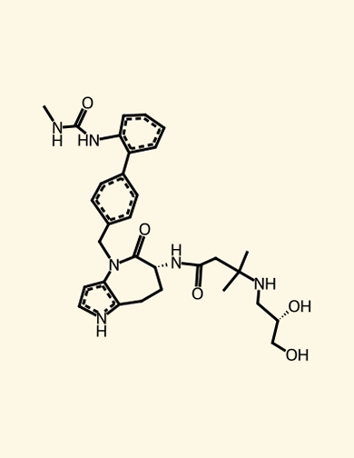 CNC(=O)Nc1ccccc1-c1ccc(CN2C(=O)[C@H](NC(=O)CC(C)(C)NC[C@H](O)CO)CCc3[nH]ccc32)cc1